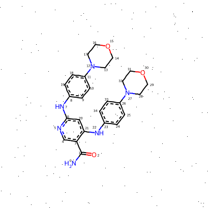 NC(=O)c1cnc(Nc2ccc(N3CCOCC3)cc2)cc1Nc1ccc(N2CCOCC2)cc1